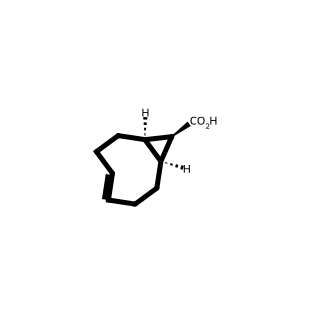 O=C(O)[C@@H]1[C@@H]2CC/C=C/CC[C@@H]21